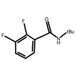 CC(C)(C)NC(=O)c1cccc(F)c1F